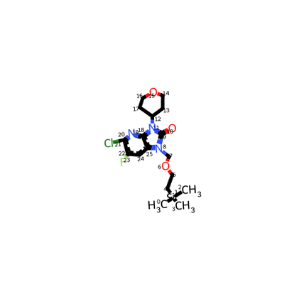 C[Si](C)(C)CCOCn1c(=O)n(C2CCOCC2)c2nc(Cl)c(F)cc21